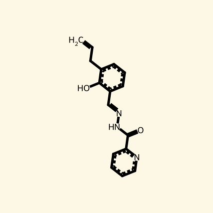 C=CCc1cccc(/C=N/NC(=O)c2ccccn2)c1O